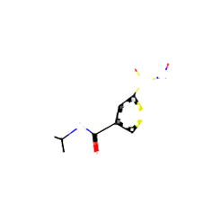 CC(C)NC(=O)c1csc([S+]([O-])NO)c1